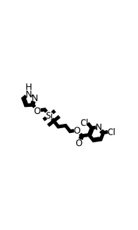 CC(C)(CCCOC(=O)c1ccc(Cl)nc1Cl)[Si](C)(C)COc1cc[nH]n1